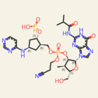 CC(C)C(=O)Nc1nc2c(ncn2[C@@H]2O[C@H](CO)[C@@H](C)[C@H]2OP(=O)(OCCC#N)OC[C@H]2C[C@@H](Nc3ccncn3)C[C@@H]2O[PH](=O)O)c(=O)[nH]1